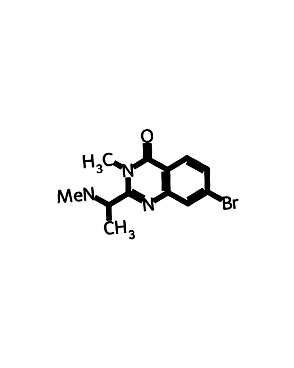 CNC(C)c1nc2cc(Br)ccc2c(=O)n1C